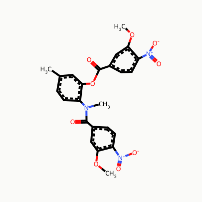 COc1cc(C(=O)Oc2cc(C)ccc2N(C)C(=O)c2ccc([N+](=O)[O-])c(OC)c2)ccc1[N+](=O)[O-]